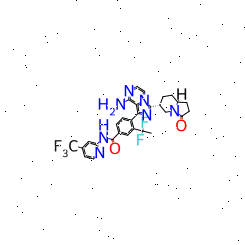 CC(F)(F)c1cc(C(=O)Nc2cc(C(F)(F)F)ccn2)ccc1-c1nc([C@@H]2CC[C@H]3CCC(=O)N3C2)n2ccnc(N)c12